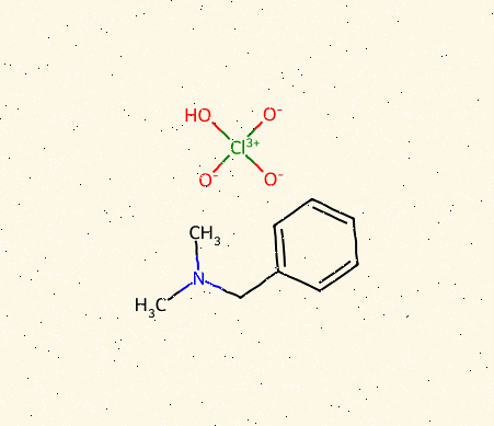 CN(C)Cc1ccccc1.[O-][Cl+3]([O-])([O-])O